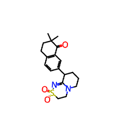 CC1(C)CCc2ccc(C3CCCN4CCS(=O)(=O)N=C34)cc2C1=O